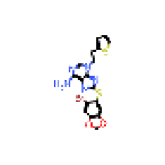 Nc1ncn(CCc2cccs2)c2nc(Sc3cc4c(cc3Br)OCO4)nc1-2